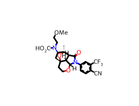 COCCN(C(=O)O)[C@@H]1C[C@]23CCO[C@@H]4[C@H]2[C@@H](C(=O)N4c2ccc(C#N)c(C(F)(F)F)c2)[C@@]1(C)O3